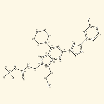 Cc1cccc(-c2ccn(-c3cc(N4CCOCC4)c4nc(CNC(=O)OC(C)(C)C)n(CCBr)c4n3)n2)c1